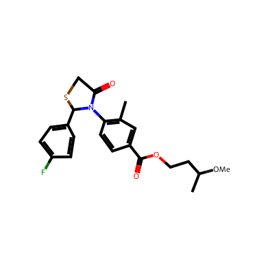 COC(C)CCOC(=O)c1ccc(N2C(=O)CSC2c2ccc(F)cc2)c(C)c1